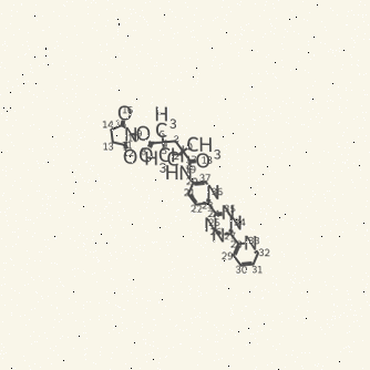 CC(C)(CC(C)(C)C(=O)ON1C(=O)CCC1=O)C(=O)Nc1ccc(-c2nnc(-c3ccccn3)nn2)nc1